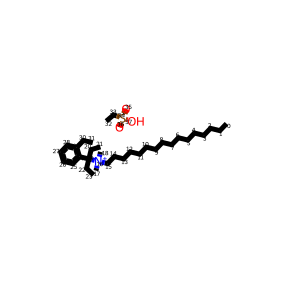 CCCCCCCCCCCCCCCC[N+](C)(C)C(CC)(CC)c1ccccc1CC.CCS(=O)(=O)O